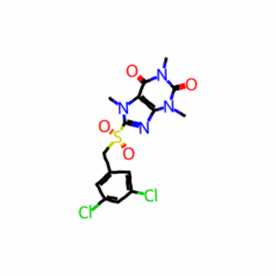 Cn1c(=O)c2c(nc(S(=O)(=O)Cc3cc(Cl)cc(Cl)c3)n2C)n(C)c1=O